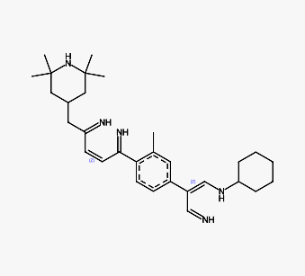 Cc1cc(/C(C=N)=C/NC2CCCCC2)ccc1C(=N)/C=C\C(=N)CC1CC(C)(C)NC(C)(C)C1